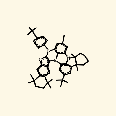 Cc1cc2c3c(c1)N1c4c(cc(C(C)(C)C)cc4C4(C)CCCCC14C)B3c1c(oc3cc4c(cc13)C(C)(C)CCC4(C)C)N2c1ccc(C(C)(C)C)cc1